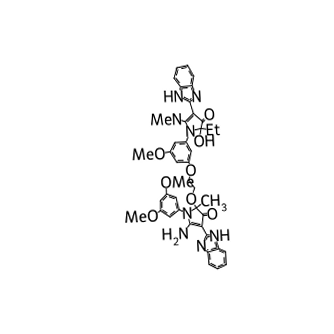 CCC1(O)C(=O)C(c2nc3ccccc3[nH]2)=C(NC)N1c1cc(OC)cc(OCCOC2(C)C(=O)C(c3nc4ccccc4[nH]3)=C(N)N2c2cc(OC)cc(OC)c2)c1